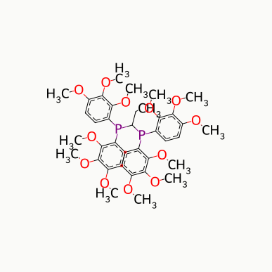 CCC(P(c1ccc(OC)c(OC)c1OC)c1ccc(OC)c(OC)c1OC)P(c1ccc(OC)c(OC)c1OC)c1ccc(OC)c(OC)c1OC